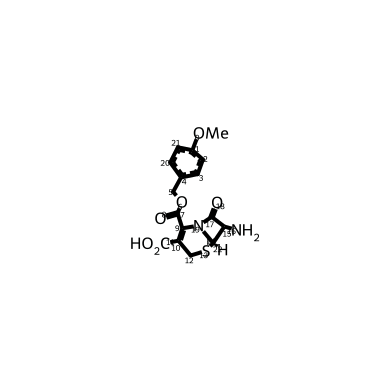 COc1ccc(COC(=O)C2=C(C(=O)O)CS[C@H]3C(N)C(=O)N23)cc1